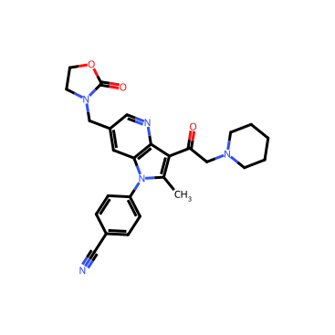 Cc1c(C(=O)CN2CCCCC2)c2ncc(CN3CCOC3=O)cc2n1-c1ccc(C#N)cc1